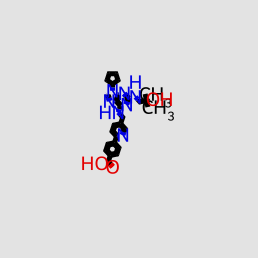 CC(C)(O)CNc1nc(NCc2ccc(-c3ccc(C(=O)O)cc3)nc2)c2ncn(C3CCCC3)c2n1